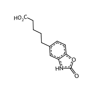 O=C(O)CCCCc1ccc2oc(=O)[nH]c2c1